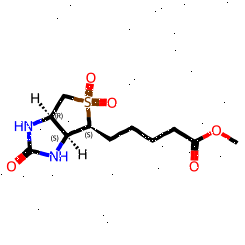 COC(=O)CCCC[C@H]1[C@H]2NC(=O)N[C@H]2CS1(=O)=O